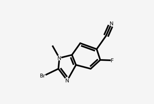 Cn1c(Br)nc2cc(F)c(C#N)cc21